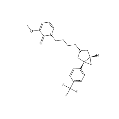 COc1cccn(CCCCN2C[C@@H]3C[C@]3(c3ccc(C(F)(F)F)cc3)C2)c1=O